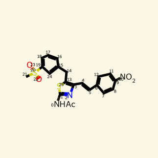 CC(=O)Nc1nc(C=Cc2ccc([N+](=O)[O-])cc2)c(Cc2cccc(S(C)(=O)=O)c2)s1